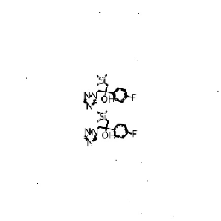 C[Si](C)(C)CC(O)(Cn1cncn1)c1ccc(F)cc1.C[Si](C)(C)CC(O)(Cn1cncn1)c1ccc(F)cc1